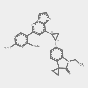 COc1ncc(-c2cc([C@H]3C[C@@H]3c3ccc4c(c3)N(CC(F)(F)F)C(=O)C43CC3)c3nccn3n2)c(OC)n1